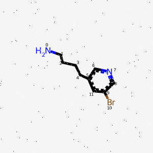 NCCCCc1cncc(Br)c1